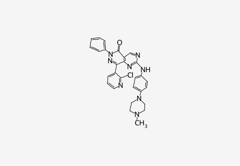 CN1CCN(c2ccc(Nc3ncc4c(=O)n(-c5ccccc5)nc(-c5cccnc5Cl)c4n3)cc2)CC1